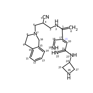 C=C(NCC(C#N)CN1CCc2ccccc2C1)/C(C=N)=C/C(=N)NC1CNC1